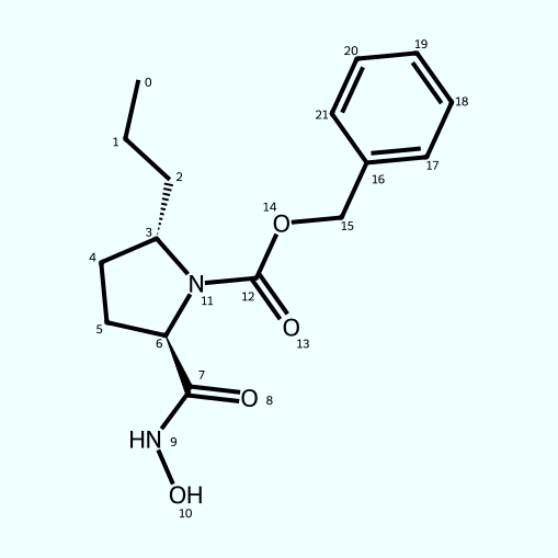 CCC[C@H]1CC[C@H](C(=O)NO)N1C(=O)OCc1ccccc1